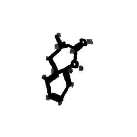 CN1Cc2cc[c]cc2OC1=O